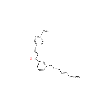 CCCCCCCCCCCCCCCCc1cccc(C(=O)C=Cc2ccc(SC)cc2)c1